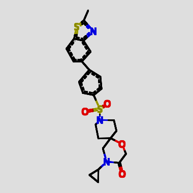 Cc1nc2cc(-c3ccc(S(=O)(=O)N4CCC5(CC4)CN(C4CC4)C(=O)CO5)cc3)ccc2s1